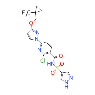 O=C(NS(=O)(=O)c1cn[nH]c1)c1ccc(-n2ccc(OCC3(C(F)(F)F)CC3)n2)nc1Cl